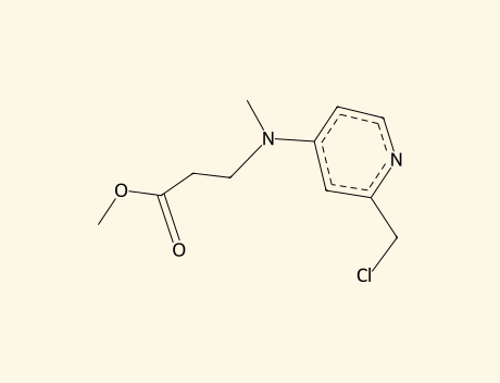 COC(=O)CCN(C)c1ccnc(CCl)c1